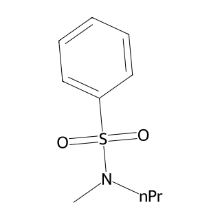 CCCN(C)S(=O)(=O)c1ccccc1